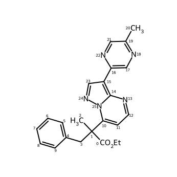 CCOC(=O)C(C)(Cc1ccccc1)c1ccnc2c(-c3cnc(C)cn3)cnn12